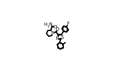 Cc1ccccc1-c1nc(C(=O)N2CCCCC2C(N)=O)c(-c2ccc(F)cc2)s1